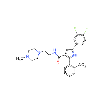 CN1CCN(CCNC(=O)c2cc(-c3ccc(F)c(F)c3)[nH]c2-c2ccccc2[N+](=O)[O-])CC1